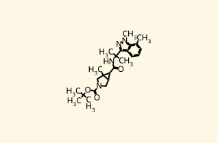 Cc1cccc2c(C(C)(C)NC(=O)C3C4CN(C(=O)OC(C)(C)C)CC43C)nn(C)c12